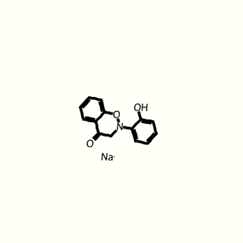 O=C1CN(c2ccccc2O)Oc2ccccc21.[Na]